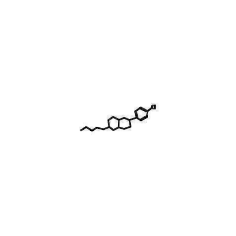 CCCCCC1CCC2CC(c3ccc(Cl)cc3)CCC2C1